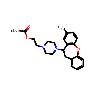 CCCCCCCCCC(=O)OCCN1CCN(C2Cc3ccccc3Oc3ccc(C)cc32)CC1